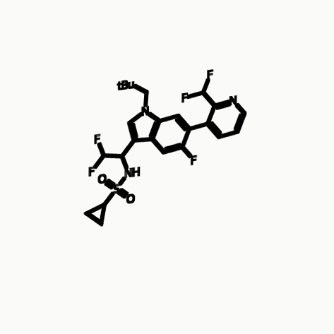 CC(C)(C)Cn1cc(C(NS(=O)(=O)C2CC2)C(F)F)c2cc(F)c(-c3cccnc3C(F)F)cc21